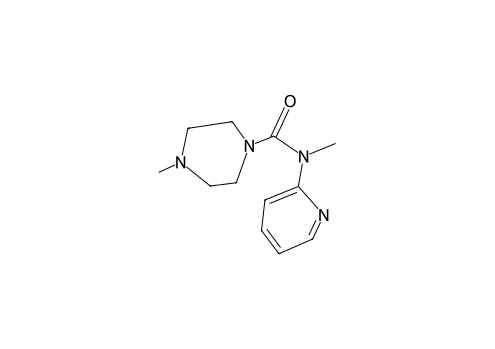 CN1CCN(C(=O)N(C)c2ccccn2)CC1